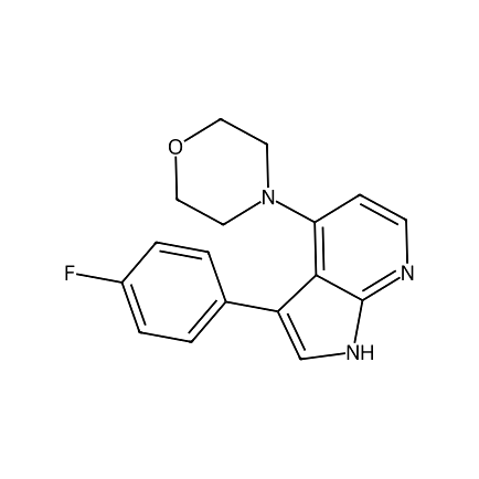 Fc1ccc(-c2c[nH]c3nccc(N4CCOCC4)c23)cc1